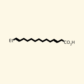 CC/C=C/CCCCCCCC/C=C/CC(=O)O